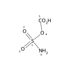 NS(=O)(=O)OC(=O)O